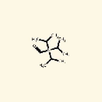 CC(C)[Si]([C]=O)(C(C)C)C(C)C